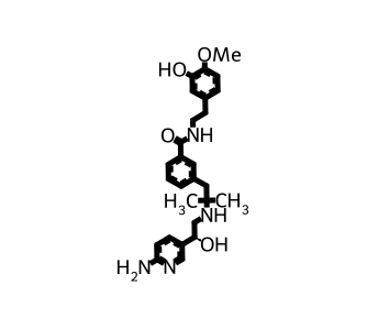 COc1ccc(CCNC(=O)c2cccc(CC(C)(C)NC[C@H](O)c3ccc(N)nc3)c2)cc1O